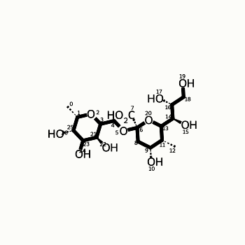 C[C@@H]1OC(CO[C@]2(C(=O)O)C[C@@H](O)[C@@H](C)C([C@H](O)[C@H](O)CO)O2)[C@@H](O)C(O)[C@@H]1O